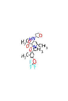 COC(=O)c1c(NC2CCOC2)cc(C)nc1Oc1c(C)cc(OC(F)(F)F)cc1C